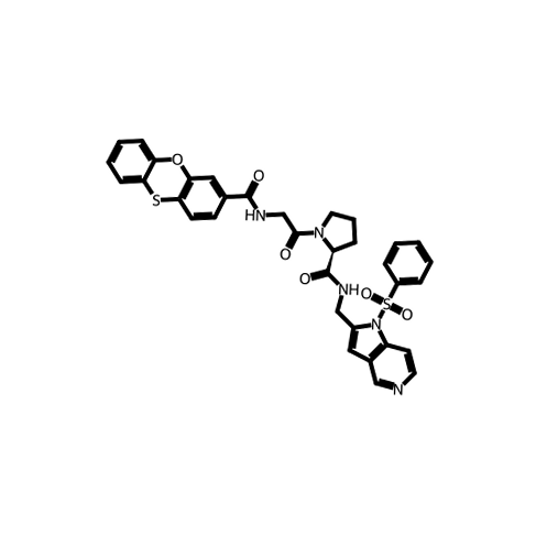 O=C(NCC(=O)N1CCC[C@H]1C(=O)NCc1cc2cnccc2n1S(=O)(=O)c1ccccc1)c1ccc2c(c1)Oc1ccccc1S2